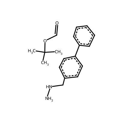 CC(C)(C)OC=O.NNCc1ccc(-c2ccccc2)cc1